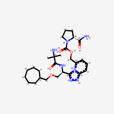 CC(C)(N)C(=O)N[C@H](COCC1CCCCCC1)c1nnc2cccc(COC(=O)N3CCC[C@@H]3C(N)=O)n12